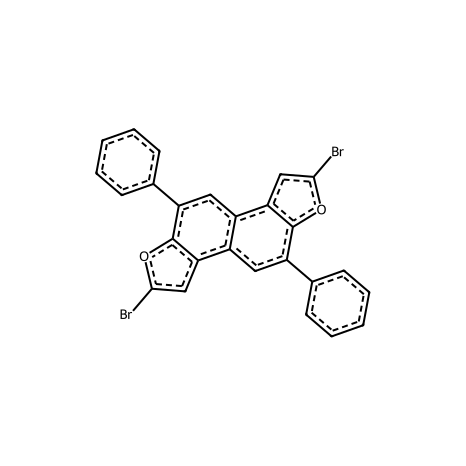 Brc1cc2c(o1)c(-c1ccccc1)cc1c3cc(Br)oc3c(-c3ccccc3)cc21